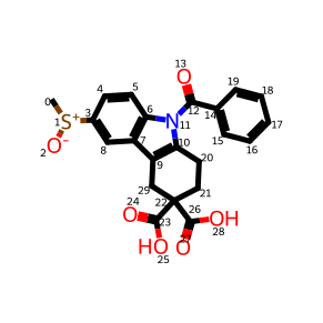 C[S+]([O-])c1ccc2c(c1)c1c(n2C(=O)c2ccccc2)CCC(C(=O)O)(C(=O)O)C1